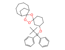 CC(C)(C)[Si](OC1CCCC2(C1)OOC1(O2)C2CCCCCC1CC2)(c1ccccc1)c1ccccc1